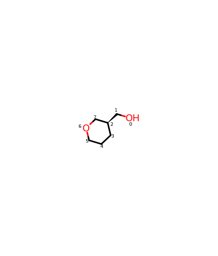 OC[C@H]1CCCOC1